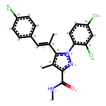 CNC(=O)c1nn(-c2ccc(Cl)cc2Cl)c(/C(C)=C/c2ccc(Cl)cc2)c1C